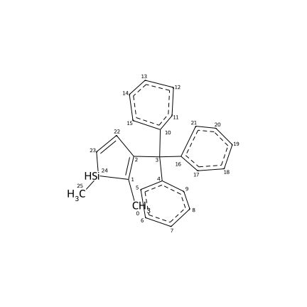 CC1=C(C(c2ccccc2)(c2ccccc2)c2ccccc2)C=C[SiH]1C